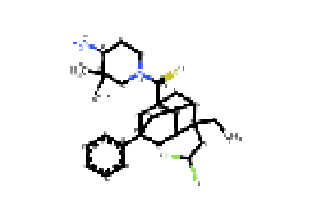 CCC1(CC(F)F)C2CC3(C(=S)N4CC[C@H](N)C(C)(C)C4)CC1CC(c1ccccc1)(C2)C3